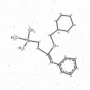 C[Si](C)(C)CCC(=Nc1ccccc1)OCC1CCCCC1